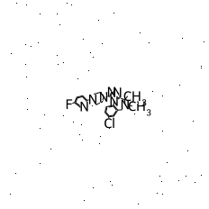 CC1c2nnc(N3CCN(c4ccc(F)cn4)CC3)n2-c2ccc(Cl)cc2CN1C